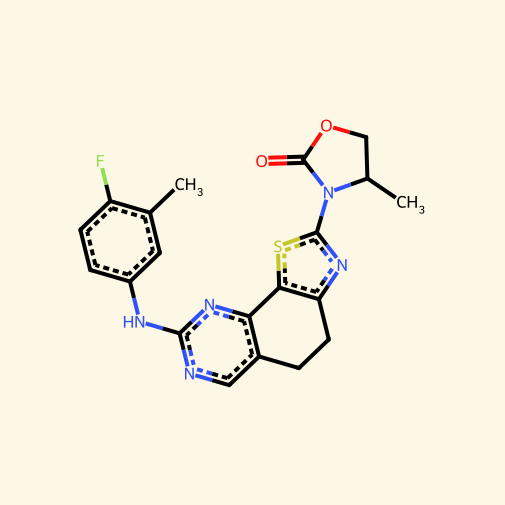 Cc1cc(Nc2ncc3c(n2)-c2sc(N4C(=O)OCC4C)nc2CC3)ccc1F